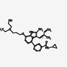 C=C/C(C)=C\c1c(N)[nH]c2c(OCCCN(CC)CCO)ccc(-c3cccc(C(=O)NC4CC4)c3)c12